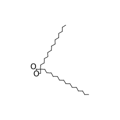 CCCCCCCCCCCCCCCC1(CCCCCCCCCCCCCC)COC1=O